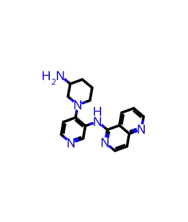 NC1CCCN(c2ccncc2Nc2nccc3ncccc23)C1